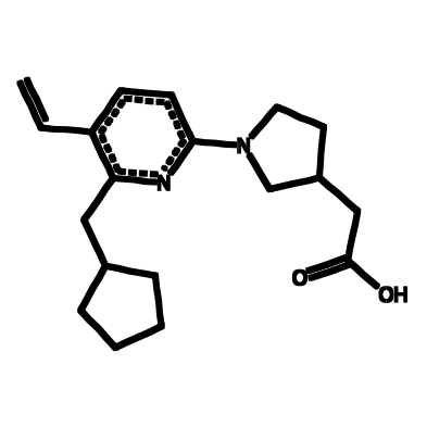 C=Cc1ccc(N2CCC(CC(=O)O)C2)nc1CC1CCCC1